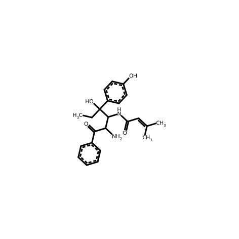 CCC(O)(c1ccc(O)cc1)C(NC(=O)C=C(C)C)C(N)C(=O)c1ccccc1